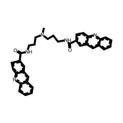 CN(CCCNC(=O)c1ccc2nc3ccccc3cc2c1)CCCNC(=O)c1ccc2nc3ccccc3cc2c1